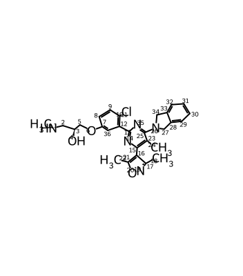 CNC[C@H](O)COc1ccc(Cl)c(-c2nc(-c3c(C)noc3C)c(C)c(N3Cc4ccccc4C3)n2)c1